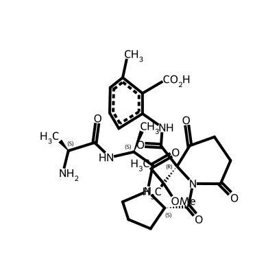 COC(C)(C)[C@]1(C(=O)Nc2cccc(C)c2C(=O)O)C(=O)CCC(=O)N1C(=O)[C@@H]1CCCN1C(=O)[C@H](C)NC(=O)[C@H](C)N